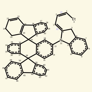 CC/C=C\C=C1/Cc2ccccc2N1c1ccc2c(c1)C1(C3=C(C=CCC3)c3ccccc31)c1ccccc1C21c2ccccc2-c2ccccc21